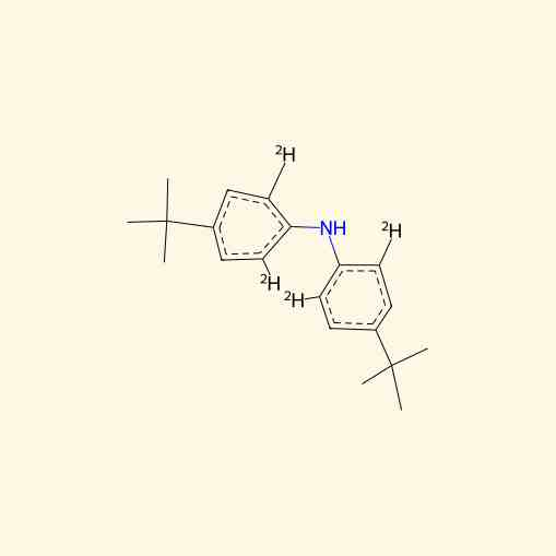 [2H]c1cc(C(C)(C)C)cc([2H])c1Nc1c([2H])cc(C(C)(C)C)cc1[2H]